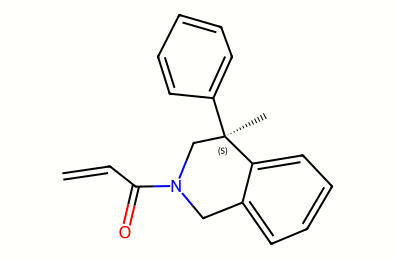 C=CC(=O)N1Cc2ccccc2[C@](C)(c2ccccc2)C1